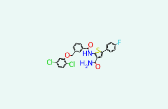 NC(=O)c1cc(-c2ccc(F)cc2)sc1NC(=O)c1cccc(COc2cc(Cl)ccc2Cl)c1